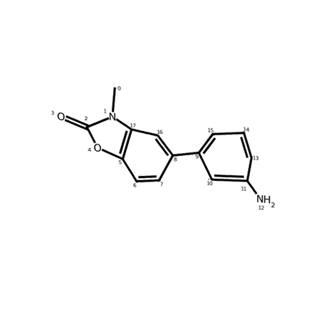 Cn1c(=O)oc2ccc(-c3[c]c(N)ccc3)cc21